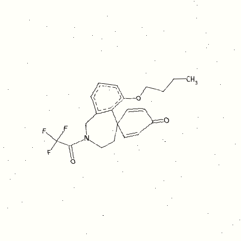 CCCCOc1cccc2c1C1(C=CC(=O)C=C1)CCN(C(=O)C(F)(F)F)C2